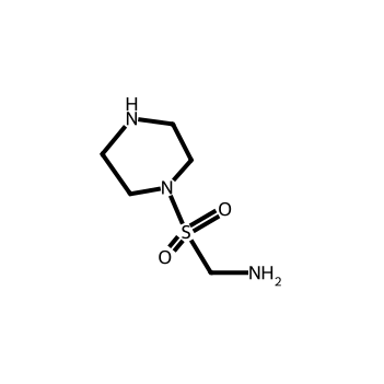 NCS(=O)(=O)N1CCNCC1